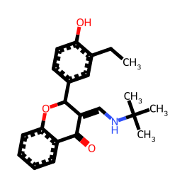 CCc1cc(C2Oc3ccccc3C(=O)C2=CNC(C)(C)C)ccc1O